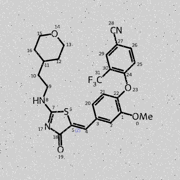 COc1cc(/C=C2\SC(NCCC3CCOCC3)=NC2=O)ccc1Oc1ccc(C#N)cc1C(F)(F)F